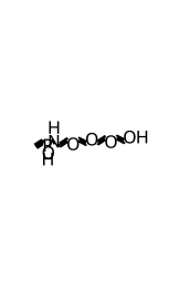 C=C[PH](=O)NCCOCCOCCOCCO